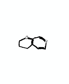 C1=CC2=C(C=[N+]1)OCCC2